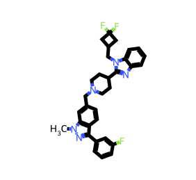 Cn1nc(-c2cccc(F)c2)c2ccc(CN3CCC(c4nc5ccccc5n4CC4CC(F)(F)C4)CC3)cc21